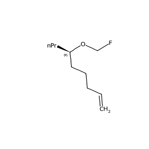 C=CCCC[C@@H](CCC)OCF